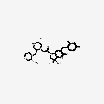 C[C@@H]1CN(CC(=O)N2CC(C)(C)c3[nH]c(=O)c(Cc4ccc(F)cc4F)cc32)[C@@H](CN2CCOC[C@H]2C)CN1